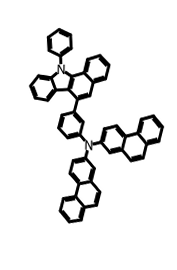 c1ccc(-n2c3ccccc3c3c(-c4cccc(N(c5ccc6c(ccc7ccccc76)c5)c5ccc6c(ccc7ccccc76)c5)c4)cc4ccccc4c32)cc1